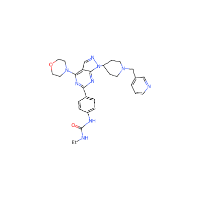 CCNC(=O)Nc1ccc(-c2nc(N3CCOCC3)c3cnn(C4CCN(Cc5cccnc5)CC4)c3n2)cc1